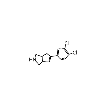 Clc1ccc(C2=CC3CNCC3C2)cc1Cl